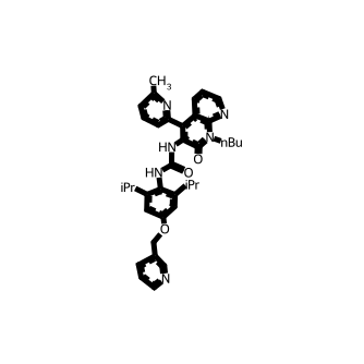 CCCCn1c(=O)c(NC(=O)Nc2c(C(C)C)cc(OCc3cccnc3)cc2C(C)C)c(-c2cccc(C)n2)c2cccnc21